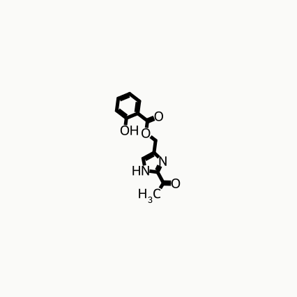 CC(=O)c1nc(COC(=O)c2ccccc2O)c[nH]1